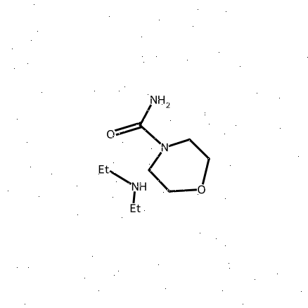 CCNCC.NC(=O)N1CCOCC1